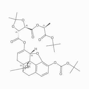 C[C@H](OC(=O)[C@@H]1OC(C)(C)O[C@H]1C(=O)OC1=CC[C@]2(O)C3Cc4ccc(OC(=O)OC(C)(C)C)c5c4[C@@]2(CCN3C)[C@H]1O5)C(=O)OC(C)(C)C